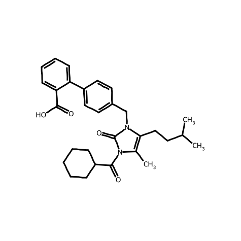 Cc1c(CCC(C)C)n(Cc2ccc(-c3ccccc3C(=O)O)cc2)c(=O)n1C(=O)C1CCCCC1